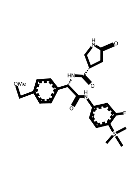 COCc1ccc([C@H](NC(=O)[C@@H]2CNC(=O)C2)C(=O)Nc2ccc(S(C)(C)C)c(F)c2)cc1